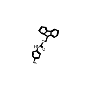 CC(=O)c1ccc(NC(=O)OCC2c3ccccc3-c3ccccc32)cc1